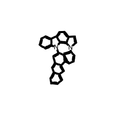 c1ccc(-n2ccc3ccc4c5ccccc5n(-c5ccc6cc7ccccc7cc6c5)c4c32)cc1